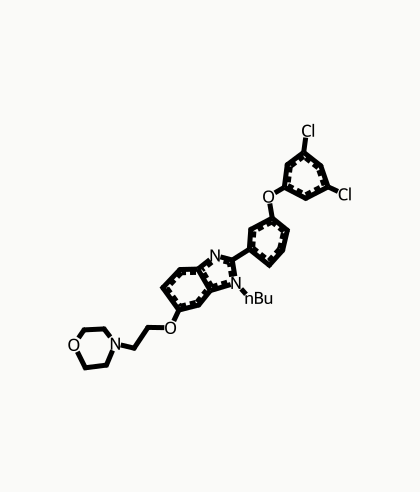 CCCCn1c(-c2cccc(Oc3cc(Cl)cc(Cl)c3)c2)nc2ccc(OCCN3CCOCC3)cc21